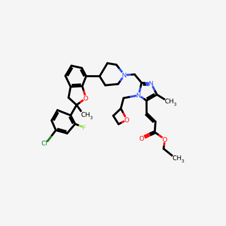 CCOC(=O)/C=C/c1c(C)nc(CN2CCC(c3cccc4c3OC(C)(c3ccc(Cl)cc3F)C4)CC2)n1CC1CCO1